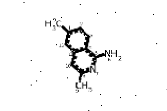 Cc1ccc2c(N)nc(C)cc2c1